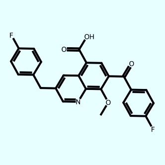 COc1c(C(=O)c2ccc(F)cc2)cc(C(=O)O)c2cc(Cc3ccc(F)cc3)cnc12